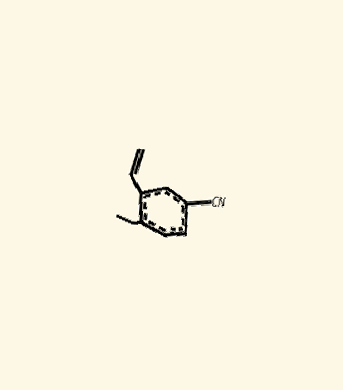 C=[C]c1cc(C#N)ccc1C